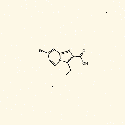 CCc1c(C(=O)O)nc2cc(Br)ccn12